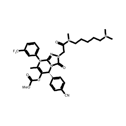 COC(=O)OC1=C(C)N(c2cccc(C(F)(F)F)c2)c2nn(CC(=O)N(C)CCCCCN(C)C)c(=O)n2[C@@H]1c1ccc(C#N)cc1